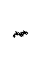 O=C1c2ccc(N3CCCc4cc(C(=O)N5CCCCC5)cnc43)cc2CC1CC1COC1